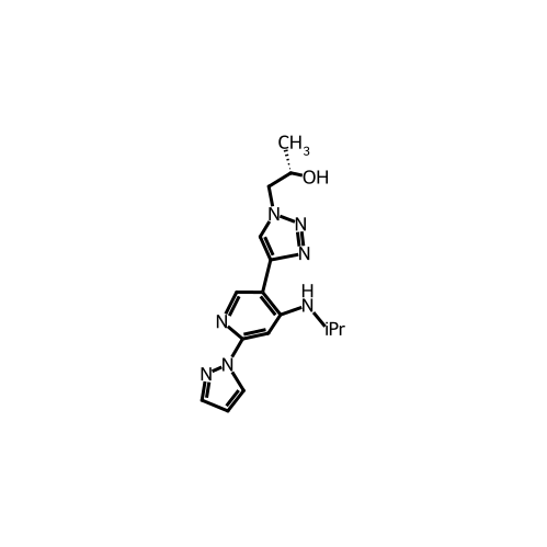 CC(C)Nc1cc(-n2cccn2)ncc1-c1cn(C[C@H](C)O)nn1